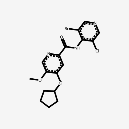 COc1cnc(C(=O)Nc2c(Cl)cncc2Br)cc1OC1CCCC1